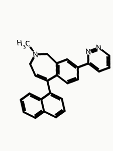 CN1CC=C(c2cccc3ccccc23)c2ccc(-c3cccnn3)cc2C1